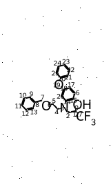 OC(CN(CCOCc1ccccc1)c1cccc(Oc2ccccc2)c1)C(F)(F)F